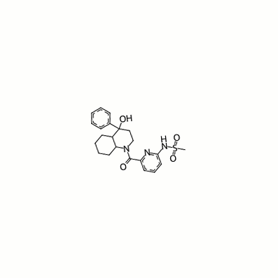 CS(=O)(=O)Nc1cccc(C(=O)N2CCC(O)(c3ccccc3)C3CCCCC32)n1